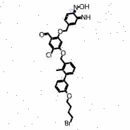 Cc1c(COc2cc(OCC3=CC(=N)/C(=N\O)C=C3)c(C=O)cc2Cl)cccc1-c1cccc(OCCCCBr)c1